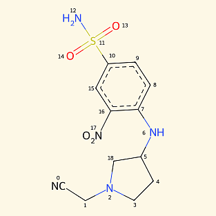 N#CCN1CCC(Nc2ccc(S(N)(=O)=O)cc2[N+](=O)[O-])C1